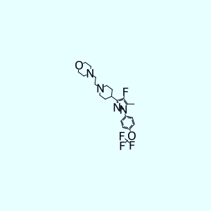 Cc1c(F)c(C2CCN(CCN3CCOCC3)CC2)nn1-c1ccc(OC(F)(F)F)cc1